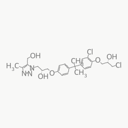 Cc1nnn(C[C@@H](O)COc2ccc(C(C)(C)c3ccc(OC[C@H](O)CCl)c(Cl)c3)cc2)c1CO